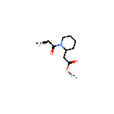 C=CC(=O)N1CCCCC1CC(=O)OC